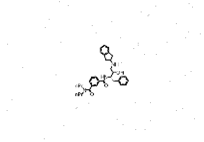 CCCN(CCC)C(=O)c1cccc(C(=O)N[C@@H](Cc2ccccc2)[C@H](O)CNC2Cc3ccccc3C2)c1